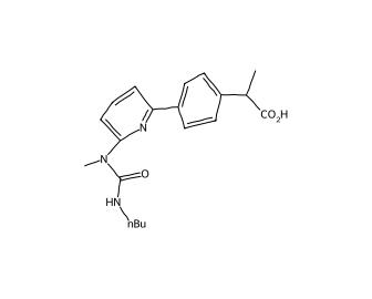 CCCCNC(=O)N(C)c1cccc(-c2ccc(C(C)C(=O)O)cc2)n1